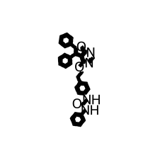 O=C(Nc1ccccc1)Nc1ccc(CCOc2ncnc3oc(-c4ccccc4)c(-c4ccccc4)c23)cc1